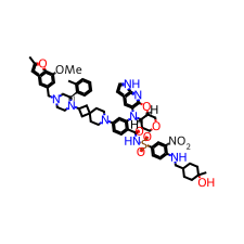 COc1cc(CN2CCN(C3CC4(CCN(c5ccc(C(=O)NS(=O)(=O)c6ccc(NCC7CCC(C)(O)CC7)c([N+](=O)[O-])c6)c(N6c7cc8cc[nH]c8nc7O[C@H]7COCC[C@@H]76)c5)CC4)C3)[C@H](c3ccccc3C)C2)cc2cc(C)oc12